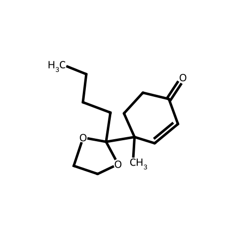 CCCCC1(C2(C)C=CC(=O)CC2)OCCO1